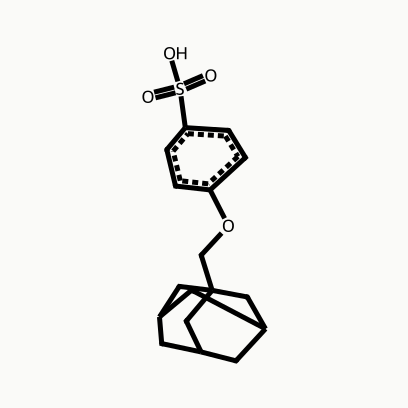 O=S(=O)(O)c1ccc(OCC23CC4CC(CC(C4)C2)C3)cc1